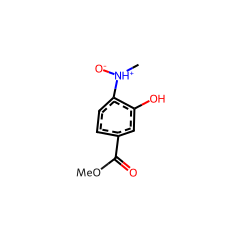 COC(=O)c1ccc([NH+](C)[O-])c(O)c1